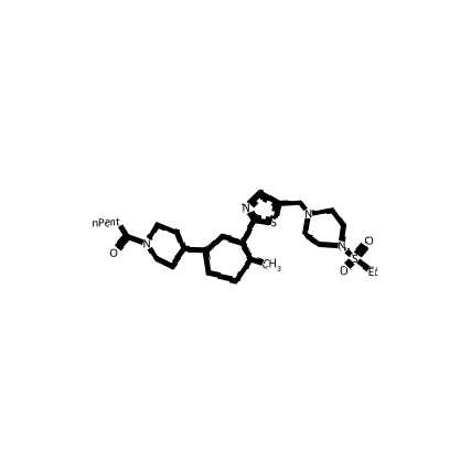 CCCCCC(=O)N1CCC([C]2CCC(C)C(c3ncc(CN4CCN(S(=O)(=O)CC)CC4)s3)C2)CC1